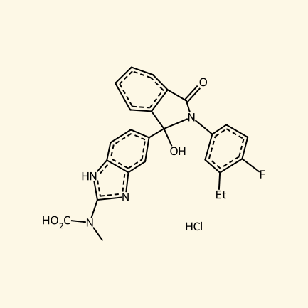 CCc1cc(N2C(=O)c3ccccc3C2(O)c2ccc3[nH]c(N(C)C(=O)O)nc3c2)ccc1F.Cl